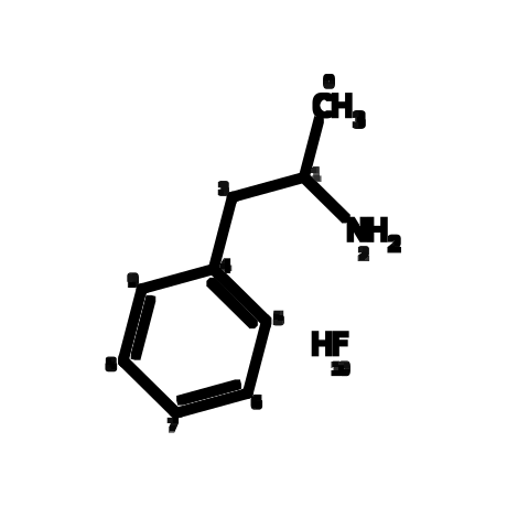 CC(N)Cc1ccccc1.F